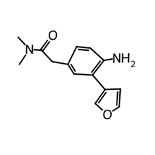 CN(C)C(=O)Cc1ccc(N)c(-c2ccoc2)c1